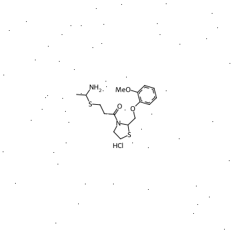 COc1ccccc1OCC1SCCN1C(=O)CCSC(C)N.Cl